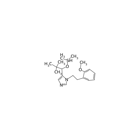 COc1ccccc1CCn1cncc1C(O[SiH](C)C)C(C)(C)C